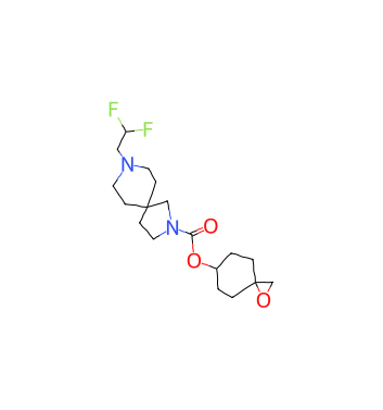 O=C(OC1CCC2(CC1)CO2)N1CCC2(CCN(CC(F)F)CC2)C1